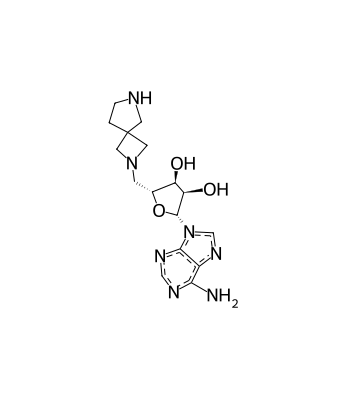 Nc1ncnc2c1ncn2[C@@H]1O[C@H](CN2CC3(CCNC3)C2)[C@@H](O)[C@H]1O